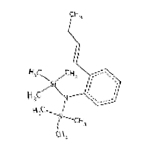 CCC=Cc1ccccc1N([Si](C)(C)C)[Si](C)(C)C